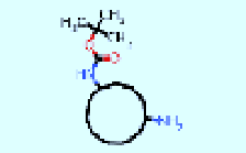 CC(C)(C)OC(=O)NC1CCCCCCC(N)CCC1